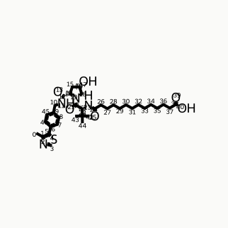 Cc1ncsc1-c1ccc(CNC(=O)[C@@H]2C[C@@H](O)CN2C(=O)[C@@H](NC(=O)CCCCCCCCCCCCC(=O)O)C(C)(C)C)cc1